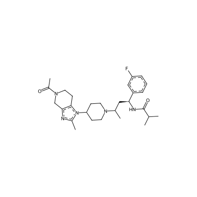 CC(=O)N1CCc2c(nc(C)n2C2CCN(C(C)C[C@H](NC(=O)C(C)C)c3cccc(F)c3)CC2)C1